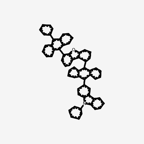 c1ccc(-c2c3ccccc3c(-c3cccc4c3oc3cccc(-c5c6ccccc6c(-c6ccc7c(c6)c6ccccc6n7-c6ccccc6)c6ccccc56)c34)c3ccccc23)cc1